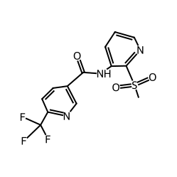 CS(=O)(=O)c1ncccc1NC(=O)c1ccc(C(F)(F)F)nc1